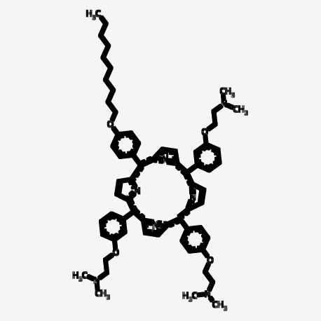 CCCCCCCCCCOc1ccc(-c2c3nc(c(-c4cccc(OCCN(C)C)c4)c4ccc([nH]4)c(-c4ccc(OCCN(C)C)cc4)c4nc(c(-c5cccc(OCCN(C)C)c5)c5ccc2[nH]5)C=C4)C=C3)cc1